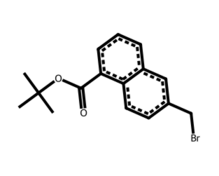 CC(C)(C)OC(=O)c1cccc2cc(CBr)ccc12